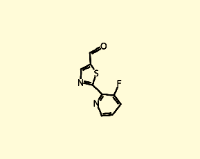 O=Cc1cnc(-c2ncccc2F)s1